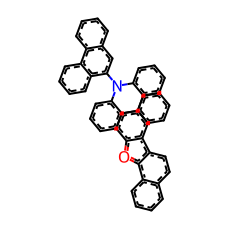 c1ccc(-c2ccccc2N(c2ccccc2-c2ccc3oc4c5ccccc5ccc4c3c2)c2cc3ccccc3c3ccccc23)cc1